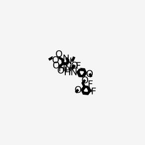 CCOC(=O)c1nn(CC)c(NC(=O)Nc2cc(OCc3c(OC)ccc(F)c3F)c(OC)cc2F)c1C(=O)O